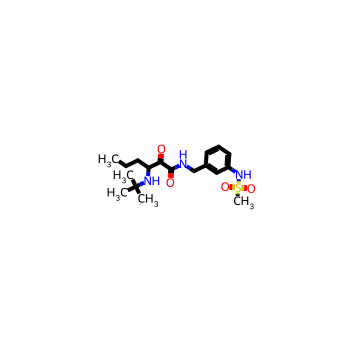 CCCC(NC(C)(C)C)C(=O)C(=O)NCc1cccc(NS(C)(=O)=O)c1